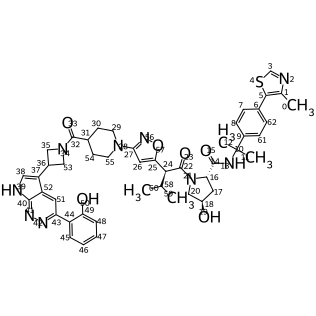 Cc1ncsc1-c1ccc(C(C)(C)NC(=O)[C@@H]2C[C@@H](O)CN2C(=O)[C@H](c2cc(N3CCC(C(=O)N4CC(c5c[nH]c6nnc(-c7ccccc7O)cc56)C4)CC3)no2)C(C)C)cc1